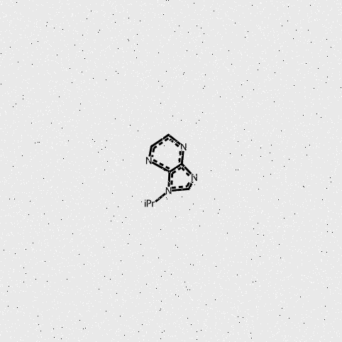 CC(C)n1cnc2nccnc21